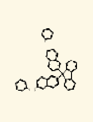 c1ccc(Oc2ccc3cc(C4(c5ccc6cc(Oc7ccccc7)ccc6c5)c5ccccc5-c5ccccc54)ccc3c2)cc1